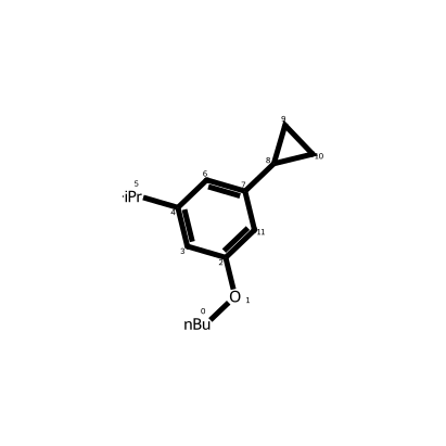 CCCCOc1cc([C](C)C)cc(C2CC2)c1